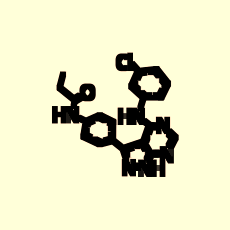 CCC(=O)Nc1ccc(-c2n[nH]c3ncnc(Nc4cccc(Cl)c4)c23)cc1